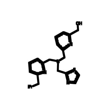 CC(C)Cc1cccc(CN(Cc2cccc(CO)n2)Cc2nccs2)n1